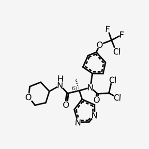 C[C@@](C(=O)NC1CCOCC1)(c1cncnc1)N(C(=O)C(Cl)Cl)c1ccc(OC(F)(F)Cl)cc1